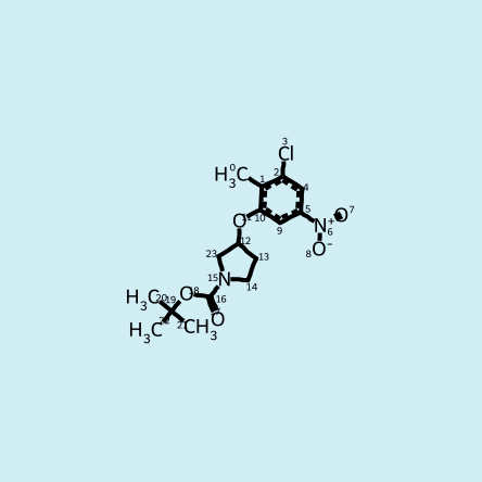 Cc1c(Cl)cc([N+](=O)[O-])cc1OC1CCN(C(=O)OC(C)(C)C)C1